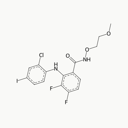 COCCONC(=O)c1ccc(F)c(F)c1Nc1ccc(I)cc1Cl